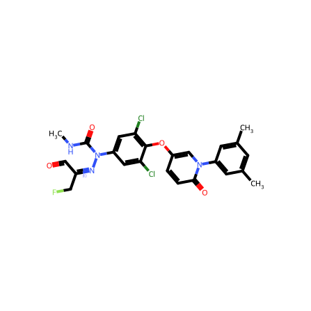 CNC(=O)N(/N=C(\C=O)CF)c1cc(Cl)c(Oc2ccc(=O)n(-c3cc(C)cc(C)c3)c2)c(Cl)c1